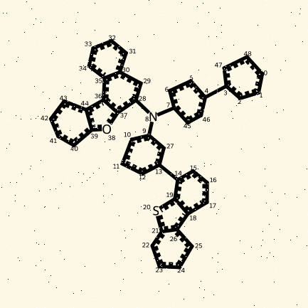 c1ccc(-c2ccc(N(c3cccc(-c4cccc5c4sc4ccccc45)c3)c3cc4ccccc4c4c3oc3ccccc34)cc2)cc1